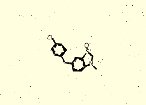 CN1C[S+]([O-])c2cc(Cc3ccc(Cl)cc3)ccc21